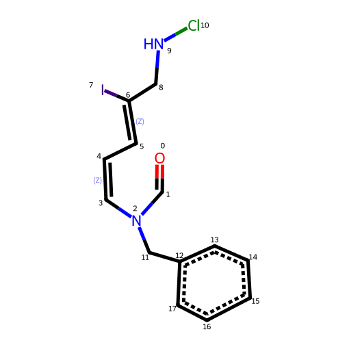 O=CN(/C=C\C=C(/I)CNCl)Cc1ccccc1